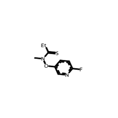 CCC(=S)N(C)Oc1ccc(F)nc1